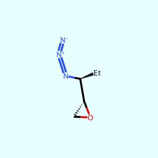 CC[C@H](N=[N+]=[N-])[C@H]1CO1